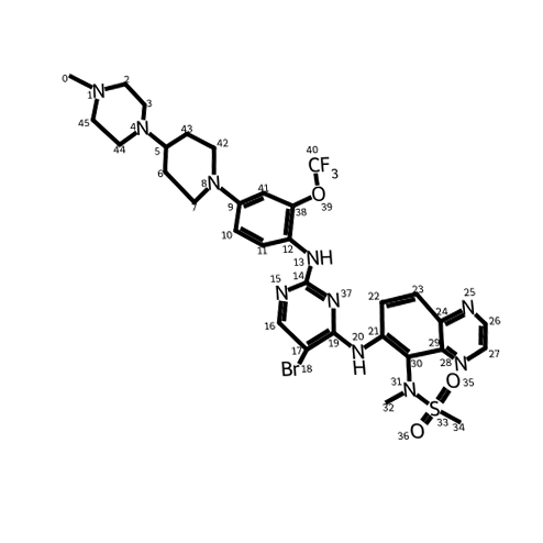 CN1CCN(C2CCN(c3ccc(Nc4ncc(Br)c(Nc5ccc6nccnc6c5N(C)S(C)(=O)=O)n4)c(OC(F)(F)F)c3)CC2)CC1